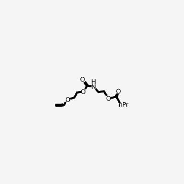 C=COCCOC(=O)NCCOC(=O)CCC